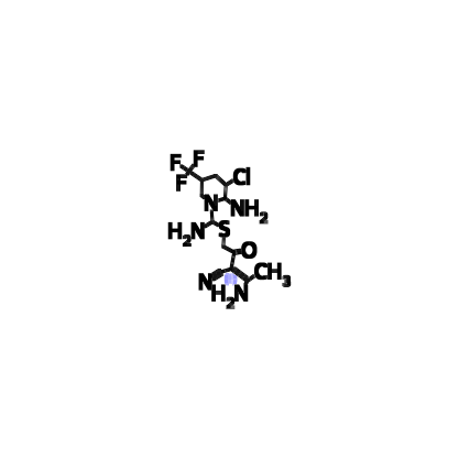 C/C(N)=C(/C#N)C(=O)CSC(N)N1CC(C(F)(F)F)CC(Cl)C1N